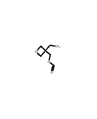 CCC1(COC=O)COC1